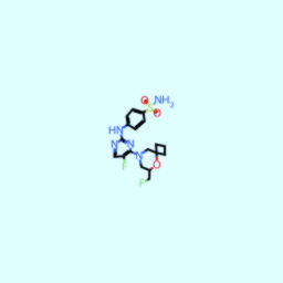 NS(=O)(=O)c1ccc(Nc2ncc(F)c(N3CC(CF)OC4(CCC4)C3)n2)cc1